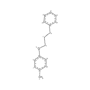 Cc1ccc(OCCCc2ccccc2)cc1